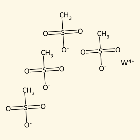 CS(=O)(=O)[O-].CS(=O)(=O)[O-].CS(=O)(=O)[O-].CS(=O)(=O)[O-].[W+4]